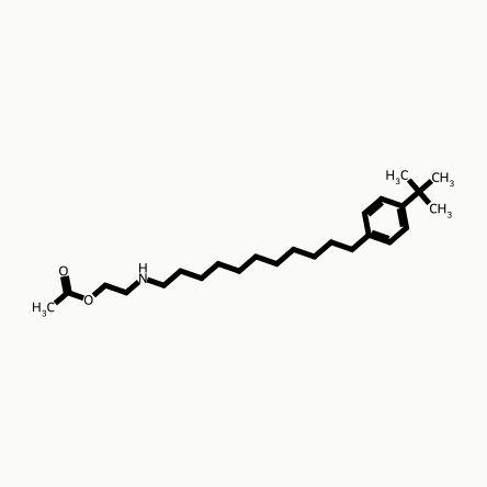 CC(=O)OCCNCCCCCCCCCCCc1ccc(C(C)(C)C)cc1